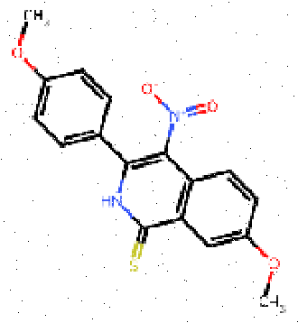 COc1ccc(-c2[nH]c(=S)c3cc(OC)ccc3c2[N+](=O)[O-])cc1